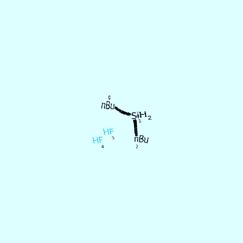 CCCC[SiH2]CCCC.F.F